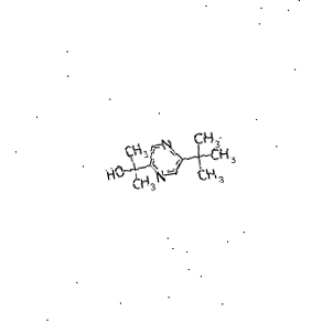 CC(C)(C)c1cnc(C(C)(C)O)cn1